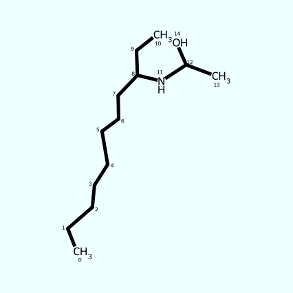 CCCCCCCCC(CC)NC(C)O